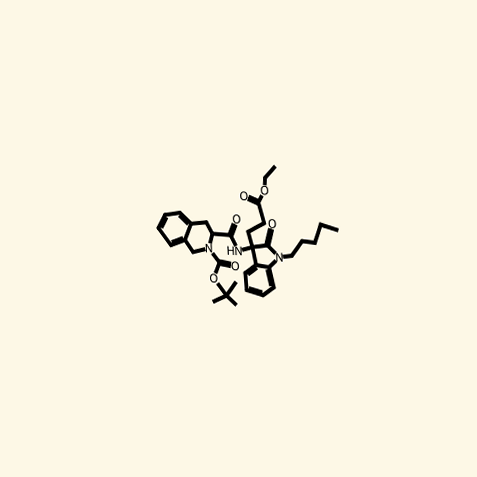 CCCCCN1C(=O)C(CCC(=O)OCC)(NC(=O)C2Cc3ccccc3CN2C(=O)OC(C)(C)C)c2ccccc21